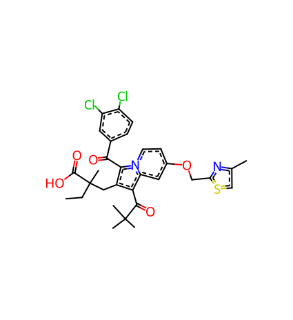 CCC(C)(Cc1c(C(=O)C(C)(C)C)c2cc(OCc3nc(C)cs3)ccn2c1C(=O)c1ccc(Cl)c(Cl)c1)C(=O)O